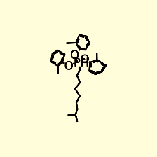 Cc1ccccc1O[PH](CCCCCCCC(C)C)(Oc1ccccc1C)Oc1ccccc1C